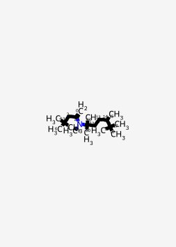 C=C(CC(C)(C)C)N(C)C(C)(C)CCC(C)C(C)(C)C